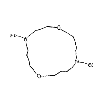 CCN1CCOCCN(CC)CCOCC1